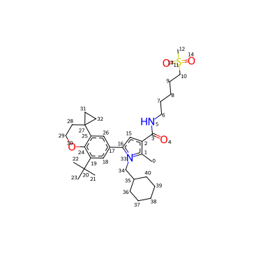 Cc1c(C(=O)NCCCCCS(C)(=O)=O)cc(-c2cc(C(C)(C)C)c3c(c2)C2(CCO3)CC2)n1CC1CCCCC1